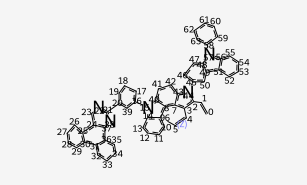 C=Cc1c(/C=C\C)c2c3c4ccccc4n(-c4cccc(-c5ncc6c7ccccc7c7ccccc7c6n5)c4)c3ccc2n1-c1ccc2c(c1)c1ccccc1n2-c1ccccc1